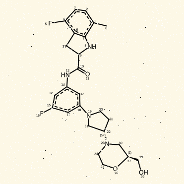 Cc1ccc(F)c2c1NC(C(=O)Nc1cc(F)cc(N3CC[C@H](N4CCO[C@H](CO)C4)C3)c1)C2